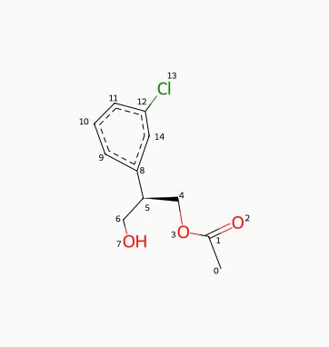 CC(=O)OC[C@@H](CO)c1cccc(Cl)c1